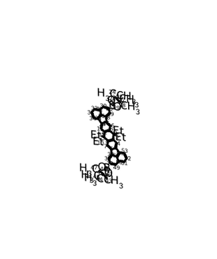 CCC1(CC)c2cc3c(cc2C(CC)(CC)c2cc4c(cc21)-c1cc(B2OC(C)(C)C(C)(C)O2)cc2cccc-4c12)-c1cc(B2OC(C)(C)C(C)(C)O2)cc2cccc-3c12